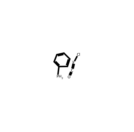 O=[C]=[Ir][Cl].Pc1ccccc1